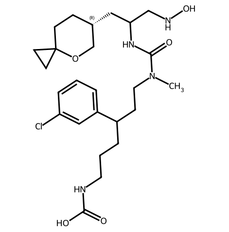 CN(CCC(CCCNC(=O)O)c1cccc(Cl)c1)C(=O)NC(CNO)C[C@H]1CCC2(CC2)OC1